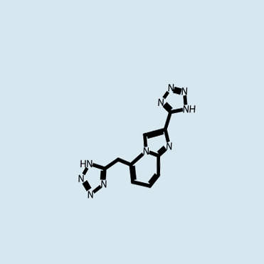 c1cc(Cc2nnn[nH]2)n2cc(-c3nnn[nH]3)nc2c1